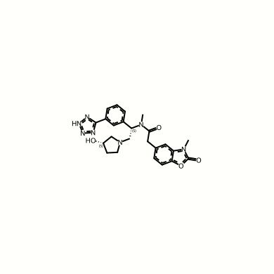 CN(C(=O)Cc1ccc2oc(=O)n(C)c2c1)[C@H](CN1CC[C@H](O)C1)c1cccc(-c2nn[nH]n2)c1